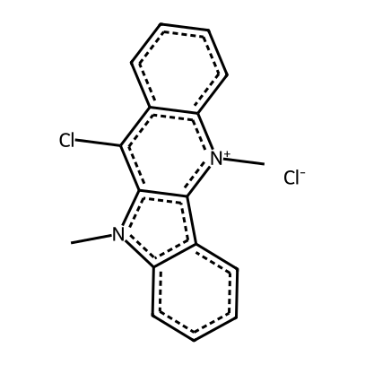 Cn1c2ccccc2c2c1c(Cl)c1ccccc1[n+]2C.[Cl-]